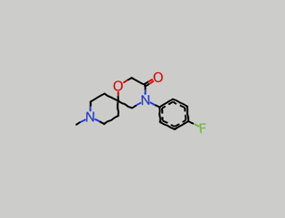 CN1CCC2(CC1)CN(c1ccc(F)cc1)C(=O)CO2